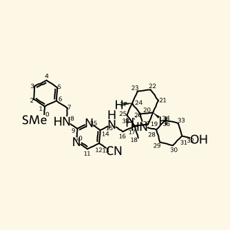 CSc1ccccc1CNc1ncc(C#N)c(NCC2(C)C[C@H]3CCC[C@@H](C2)[C@@H]3NC2CCC(O)CC2)n1